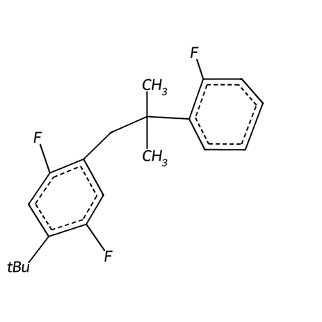 CC(C)(C)c1cc(F)c(CC(C)(C)c2ccccc2F)cc1F